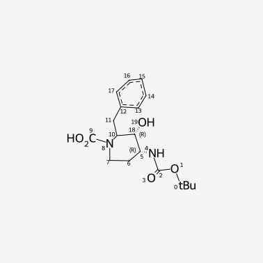 CC(C)(C)OC(=O)N[C@@H]1CCN(C(=O)O)C(Cc2ccccc2)[C@@H]1O